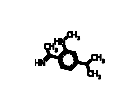 CNc1cc(C(C)C)ccc1C(C)=N